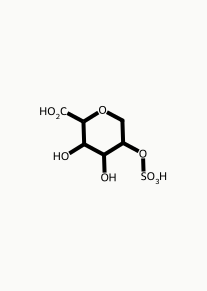 O=C(O)C1OCC(OS(=O)(=O)O)C(O)C1O